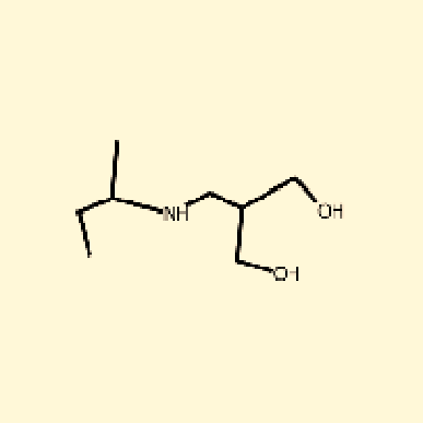 CCC(C)NCC(CO)CO